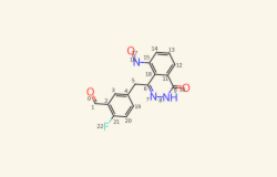 O=Cc1cc(Cc2n[nH]c(=O)c3cccc(N=O)c23)ccc1F